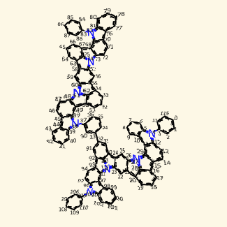 c1ccc(-n2c3ccccc3c3c2ccc2c4cccc5c6cc7c(cc6n(c54)c23)c2cc(-c3cccc(-n4c5ccccc5c5ccc6c(c8cccc9c%10cc%11c(cc%10n6c98)c6cccc8c9c%10c(ccc9n%11c68)c6ccccc6n%10-c6ccccc6)c54)c3)cc3c4ccc5c(c6ccccc6n5-c5ccccc5)c4n7c23)cc1